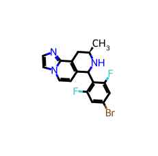 C[C@@H]1Cc2c(ccn3ccnc23)C(c2c(F)cc(Br)cc2F)N1